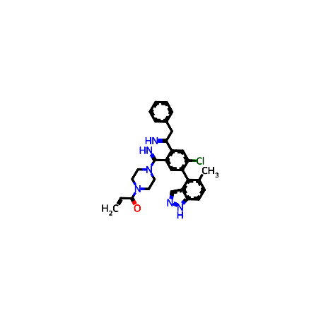 C=CC(=O)N1CCN(C(=N)c2cc(-c3c(C)ccc4[nH]ncc34)c(Cl)cc2C(=N)Cc2ccccc2)CC1